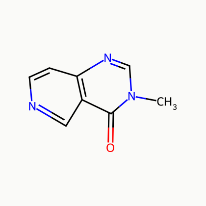 Cn1cnc2ccncc2c1=O